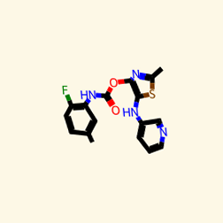 Cc1ccc(F)c(NC(=O)Oc2nc(C)sc2Nc2cccnc2)c1